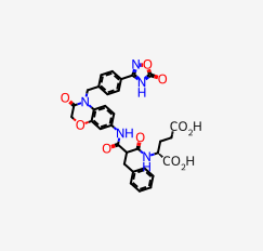 O=C(O)CC[C@H](NC(=O)C(Cc1ccccc1)C(=O)Nc1ccc2c(c1)OCC(=O)N2Cc1ccc(-c2noc(=O)[nH]2)cc1)C(=O)O